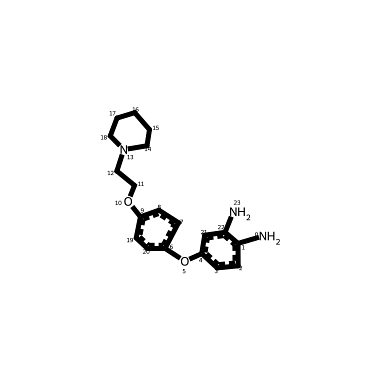 Nc1ccc(Oc2ccc(OCCN3CCCCC3)cc2)cc1N